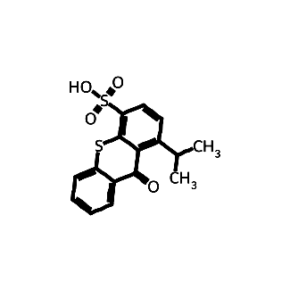 CC(C)c1ccc(S(=O)(=O)O)c2sc3ccccc3c(=O)c12